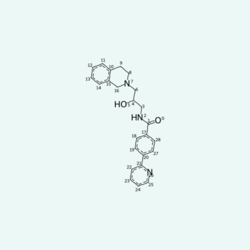 O=C(NCC(O)CN1CCc2ccccc2C1)c1ccc(-c2ccccn2)cc1